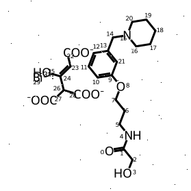 O=C(CO)NCCCOc1cccc(CN2CCCCC2)c1.O=C([O-])C=C(O)C(C(=O)[O-])C(=O)[O-].[Bi+3]